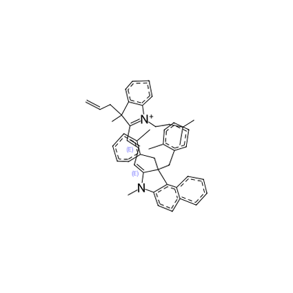 C=CCC1(C)C(/C=C/C=C2/N(C)c3ccc4ccccc4c3C2(Cc2ccccc2C)Cc2ccccc2C)=[N+](CCC(C)C)c2ccccc21